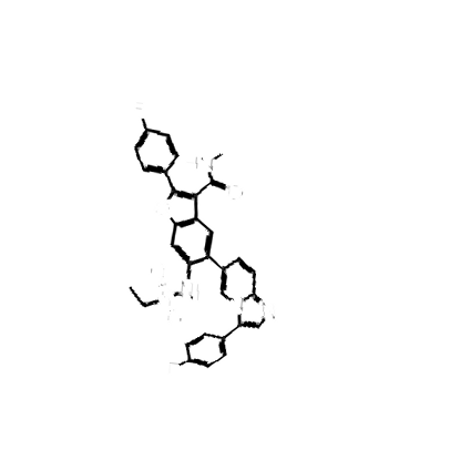 CCS(=O)(=O)Nc1cc2oc(-c3ccc(F)cc3)c(C(=O)NC)c2cc1-c1ccc2ncc(-c3ccc(F)cc3)n2c1